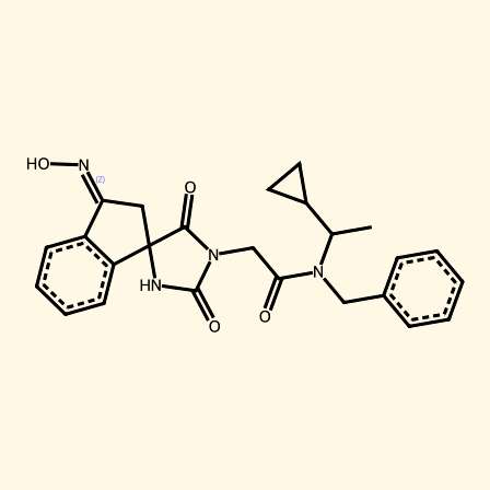 CC(C1CC1)N(Cc1ccccc1)C(=O)CN1C(=O)NC2(C/C(=N/O)c3ccccc32)C1=O